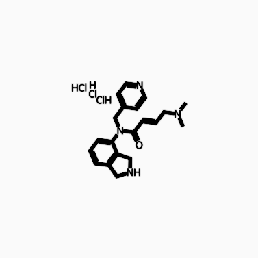 CN(C)C/C=C/C(=O)N(Cc1ccncc1)c1cccc2c1CNC2.Cl.Cl.Cl